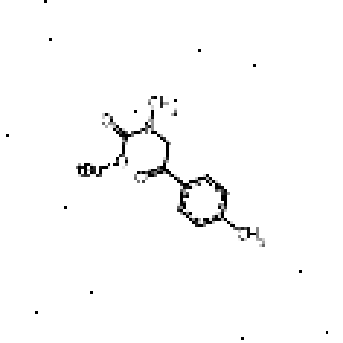 Cc1ccc(C(=O)CN(C)C(=O)OC(C)(C)C)cc1